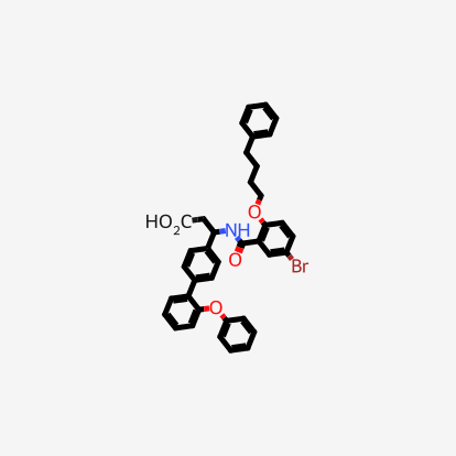 O=C(O)CC(NC(=O)c1cc(Br)ccc1OCCCCc1ccccc1)c1ccc(-c2ccccc2Oc2ccccc2)cc1